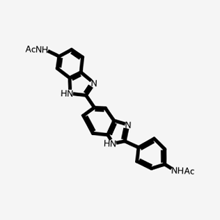 CC(=O)Nc1ccc(-c2nc3cc(-c4nc5ccc(NC(C)=O)cc5[nH]4)ccc3[nH]2)cc1